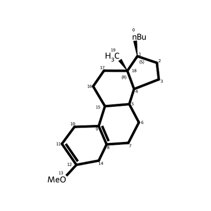 CCCC[C@H]1CCC2C3CCC4=C(CC=C(OC)C4)C3CC[C@@]21C